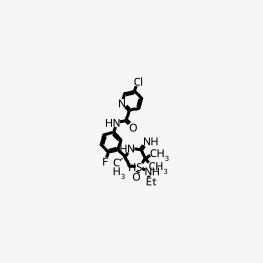 CCN[SH]1(=O)C[C@@](C)(c2cc(NC(=O)c3ccc(Cl)cn3)ccc2F)NC(=N)C1(C)C